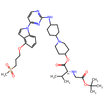 CC(C)[C@@H](NCC(=O)OC(C)(C)C)C(=O)OC1CCN(C2CCC(Nc3nccc(-n4ccc5c(OCCCS(C)(=O)=O)cccc54)n3)CC2)CC1